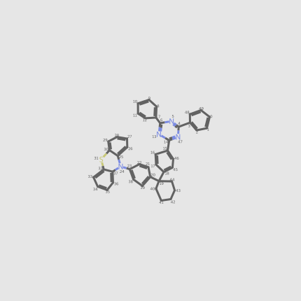 c1ccc(-c2nc(-c3ccccc3)nc(-c3ccc(C4(c5ccc(N6c7ccccc7Sc7ccccc76)cc5)CCCCC4)cc3)n2)cc1